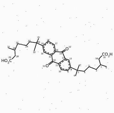 CC(CCCC(C)(C)c1ccc2c(c1)C(=O)c1ccc(C(C)(C)CCCC(C)CC(=O)O)cc1C2=O)CC(=O)O